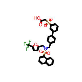 O=C(O)CS(=O)(=O)c1cccc(-c2ccc(CN(Cc3ccc(C(F)(F)F)o3)S(=O)(=O)c3cccc4ccccc34)cc2)c1